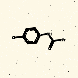 CCCC(=O)Nc1ccc(Cl)cc1